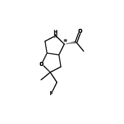 CC(=O)[C@H]1NCC2OC(C)(CF)CC21